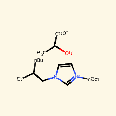 CC(O)C(=O)[O-].CCCCCCCC[n+]1ccn(CC(CC)CCCC)c1